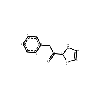 O=C(Cc1ccccc1)C1OC=CO1